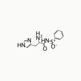 NC(Cc1c[nH]cn1)C(=O)N[S+]([O-])c1ccccc1